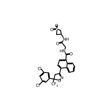 O=C(CNC(=O)c1ccc(C2=NOC(c3cc(Cl)cc(Cl)c3)(C(F)(F)F)C2)c2ccccc12)NC1CS(=O)(=O)C1